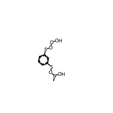 CN(O)OSc1cccc(SOOO)c1